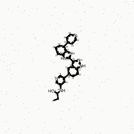 CCC(O)Nc1cncc(-c2ccc3[nH]nc(-c4nc5c(-c6ccncc6)cccc5[nH]4)c3c2)c1